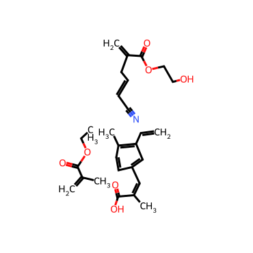 C=C(C)C(=O)OCC.C=C(CC=CC#N)C(=O)OCCO.C=Cc1cc(C=C(C)C(=O)O)ccc1C